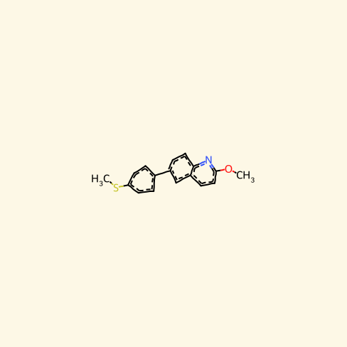 COc1ccc2cc(-c3ccc(SC)cc3)ccc2n1